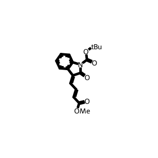 COC(=O)C=CC=C1C(=O)N(C(=O)OC(C)(C)C)c2ccccc21